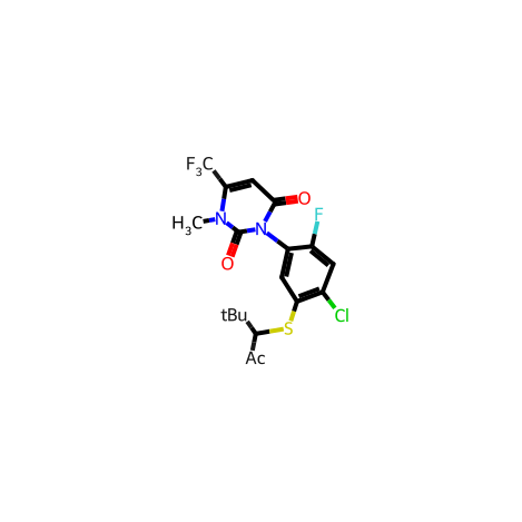 CC(=O)C(Sc1cc(-n2c(=O)cc(C(F)(F)F)n(C)c2=O)c(F)cc1Cl)C(C)(C)C